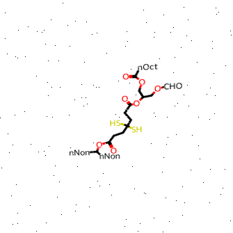 CCCCCCCCCC(CCCCCCCCC)OC(=O)CCC(S)(S)CCC(=O)OC(COC=O)COC(=O)CCCCCCCC